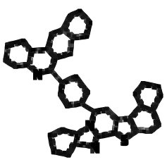 c1ccc2cc3c(cc2c1)c(-c1ccc(-c2cc4c(sc5ccc6ccccc6c54)c4nc5ccccc5n24)cc1)nc1ccccc13